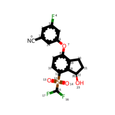 N#Cc1cc(F)cc(Oc2ccc(S(=O)(=O)C(F)F)c3c2CC[C@H]3O)c1